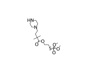 COP(=O)(OC)SCCOC(=O)C(C)(C)CCN1CCNCC1